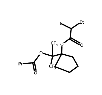 CCC(I)C(=O)OC1(C(OC(=O)C(C)C)(C(F)(F)F)C(F)(F)F)CCCC1